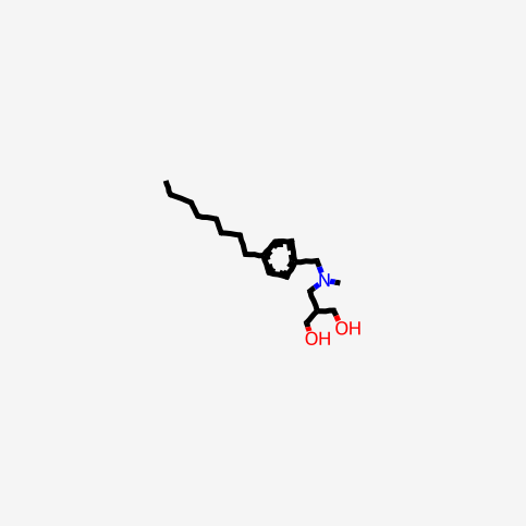 CCCCCCCCc1ccc(CN(C)CC(CO)CO)cc1